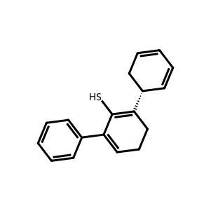 SC1=C([C@H]2C=CC=CC2)CCC=C1c1ccccc1